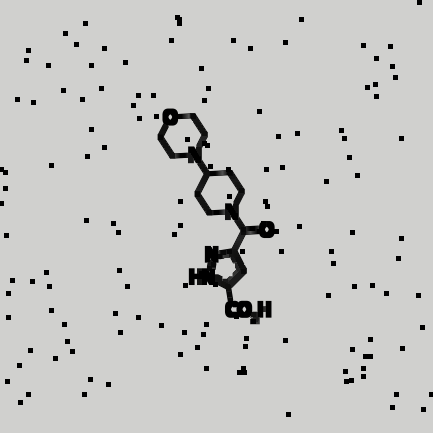 O=C(O)c1cc(C(=O)N2CCC(N3CCOCC3)CC2)n[nH]1